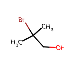 CC(C)(Br)CO